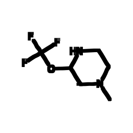 CN1[CH]C(OC(F)(F)F)NCC1